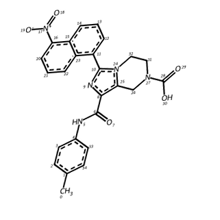 Cc1ccc(NC(=O)c2nc(-c3cccc4c([N+](=O)[O-])cccc34)n3c2CN(C(=O)O)CC3)cc1